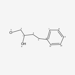 OC(CCl)CCc1ccccc1